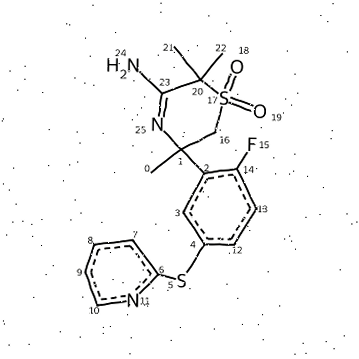 CC1(c2cc(Sc3ccccn3)ccc2F)CS(=O)(=O)C(C)(C)C(N)=N1